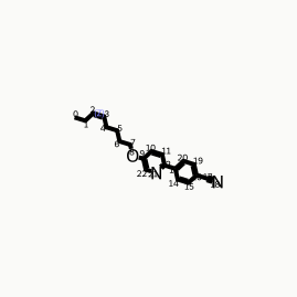 CC/C=C\CCCCOc1ccc(-c2ccc(C#N)cc2)nc1